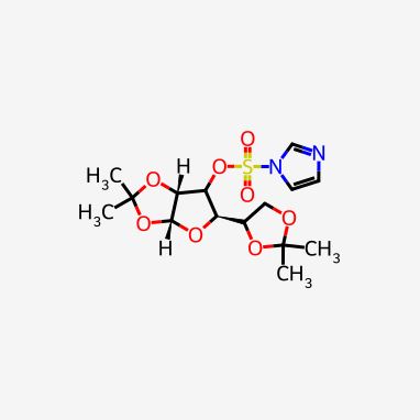 CC1(C)OCC([C@H]2O[C@@H]3OC(C)(C)O[C@@H]3C2OS(=O)(=O)n2ccnc2)O1